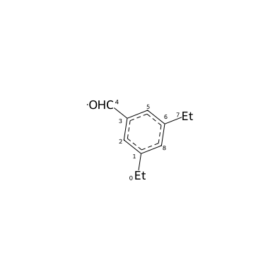 CCc1cc([C]=O)cc(CC)c1